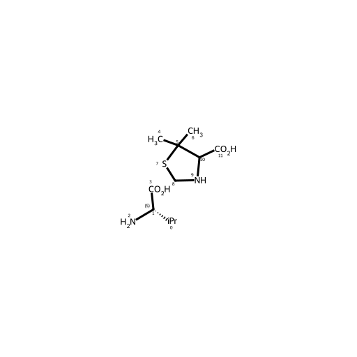 CC(C)[C@H](N)C(=O)O.CC1(C)SCNC1C(=O)O